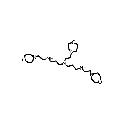 C(CNCCN1CCOCC1)CN(CCCNCCN1CCOCC1)CCN1CCOCC1